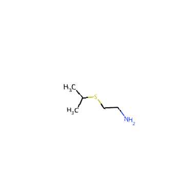 CC(C)SCCN